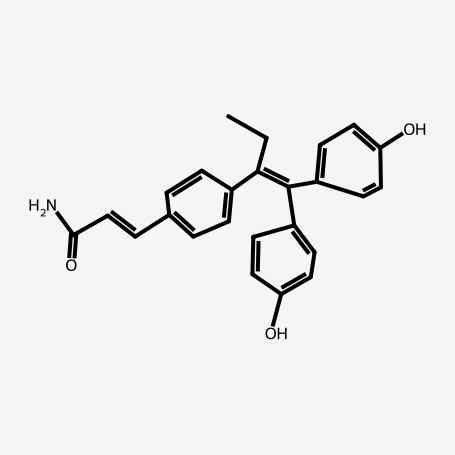 CCC(=C(c1ccc(O)cc1)c1ccc(O)cc1)c1ccc(C=CC(N)=O)cc1